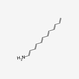 C=CC=CC=CC=CC=CC=CN